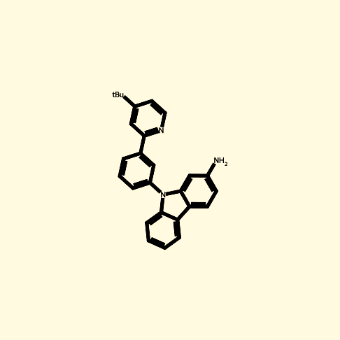 CC(C)(C)c1ccnc(-c2cccc(-n3c4ccccc4c4ccc(N)cc43)c2)c1